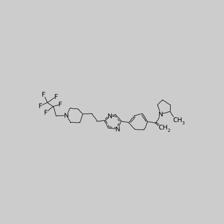 C=C(C1=CC=C(c2cnc(CCC3CCN(CC(F)(F)C(F)(F)F)CC3)cn2)CC1)N1CCCC1C